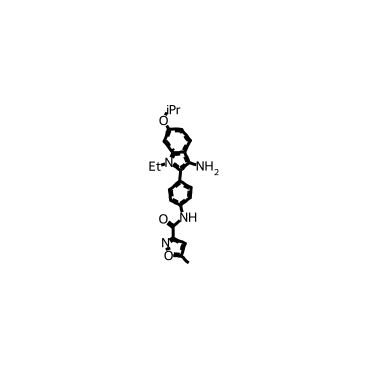 CCn1c(-c2ccc(NC(=O)c3cc(C)on3)cc2)c(N)c2ccc(OC(C)C)cc21